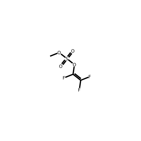 COS(=O)(=O)OC(F)=C(F)F